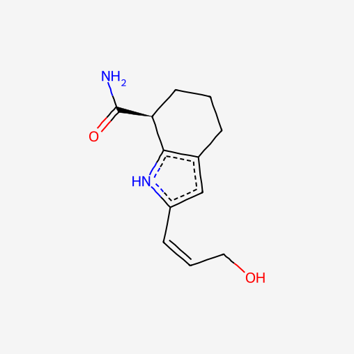 NC(=O)[C@H]1CCCc2cc(/C=C\CO)[nH]c21